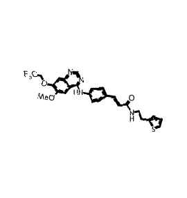 COc1cc2c(Nc3ccc(C=CC(=O)NCCc4cccs4)cc3)ncnc2cc1OCC(F)(F)F